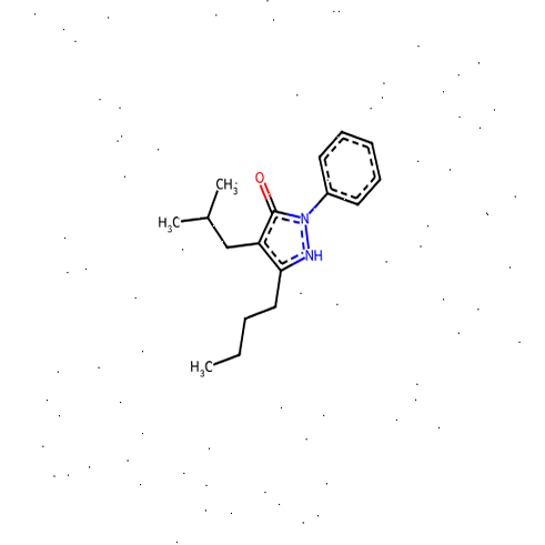 CCCCc1[nH]n(-c2ccccc2)c(=O)c1CC(C)C